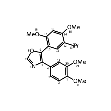 COc1ccc(-c2ncoc2-c2cc(C(C)C)c(OC)cc2OC)cc1OC